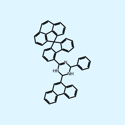 c1ccc(C2N=C(c3cccc4c3-c3ccccc3C43c4cccc5ccc6cccc3c6c45)NC(c3cc4ccccc4c4ccccc34)N2)cc1